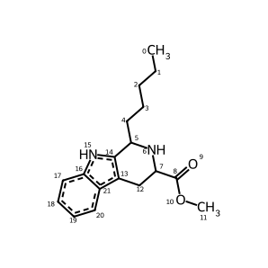 CCCCCC1NC(C(=O)OC)Cc2c1[nH]c1ccccc21